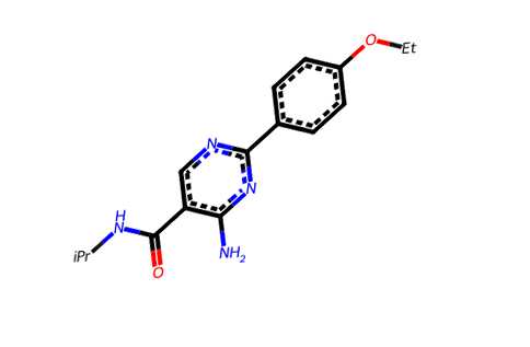 CCOc1ccc(-c2ncc(C(=O)NC(C)C)c(N)n2)cc1